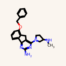 CNC1CCN(c2nc(N)nc3c2Cc2c(OCc4ccccc4)cccc2-3)C1